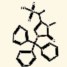 CC(c1cn(C(c2ccccc2)(c2ccccc2)c2ccccc2)c(=O)n1C)S(=O)(=O)O